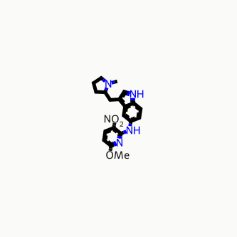 COc1ccc([N+](=O)[O-])c(Nc2ccc3[nH]cc(CC4CCCN4C)c3c2)n1